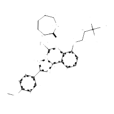 COc1ccc(-c2nc3c4cccc(OCCC(F)(F)F)c4nc(N[C@@H]4CCCCNC4=O)n3n2)cc1